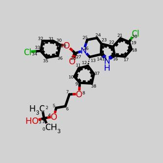 CC(C)(O)OCCCOc1ccc([C@H]2c3[nH]c4ccc(Cl)cc4c3CCN2C(=O)Oc2ccc(Cl)cc2)cc1